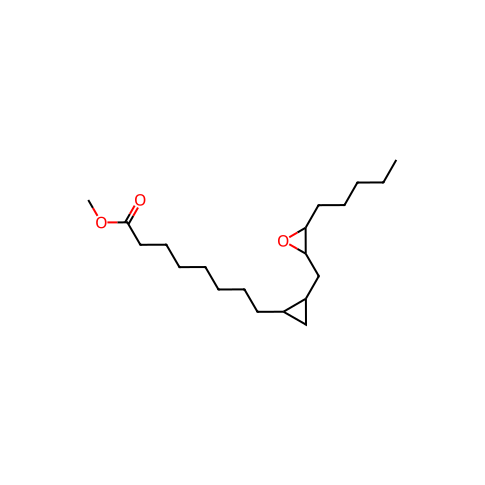 CCCCCC1OC1CC1CC1CCCCCCCC(=O)OC